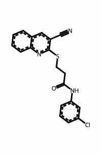 N#Cc1cc2ccccc2nc1SCCC(=O)Nc1cccc(Cl)c1